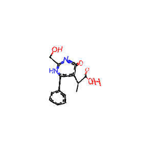 CC(C(=O)O)c1c(-c2ccccc2)[nH]c(CO)nc1=O